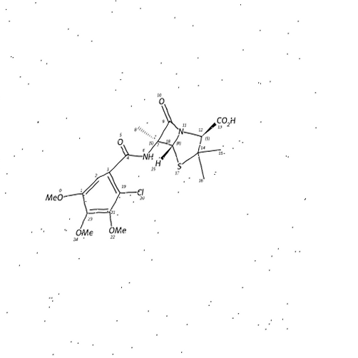 COc1cc(C(=O)N[C@@]2(C)C(=O)N3[C@@H](C(=O)O)C(C)(C)S[C@@H]32)c(Cl)c(OC)c1OC